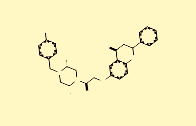 C[C@@H]1CN(Cc2ccc(F)cc2)[C@@H](C)CN1C(=O)COc1ccc2c(c1)C(=O)CC(c1ccccc1)O2